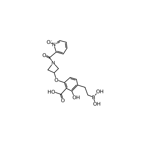 O=C(O)c1c(OC2CN(C(=O)c3cccc[n+]3[O-])C2)ccc(CCB(O)O)c1O